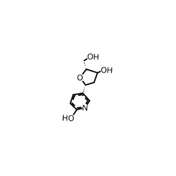 OC[C@H]1O[C@@H](c2ccc(O)nc2)CC1O